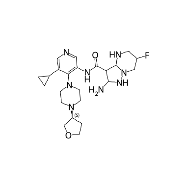 NC1NN2CC(F)CNC2C1C(=O)Nc1cncc(C2CC2)c1N1CCN([C@H]2CCOC2)CC1